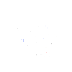 Cc1ccc(C(C)S(C)(=O)=NC(=S)N2CCCC2)cn1